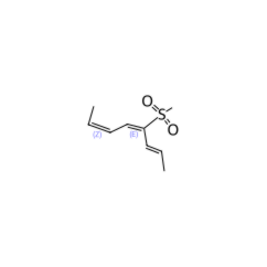 CC=C/C(=C\C=C/C)S(C)(=O)=O